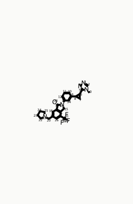 Cn1cnnc1C1CC1c1cccc(N2Cc3c(cc(CN4CCCC4)cc3C(F)(F)F)C2=O)c1